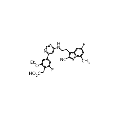 CCOc1cc(-c2cc(NCCc3c(C#N)sc4c(C)cc(F)cc34)ncn2)cc(F)c1CC(=O)O